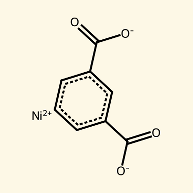 O=C([O-])c1cccc(C(=O)[O-])c1.[Ni+2]